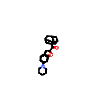 O=C(c1cc2ccc(N3CCCCC3)cc2o1)C12CC3CC(CC(C3)C1)C2